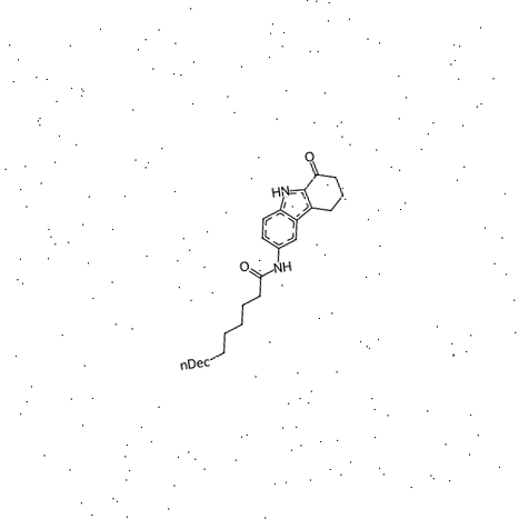 CCCCCCCCCCCCCCCC(=O)Nc1ccc2[nH]c3c(c2c1)CCCC3=O